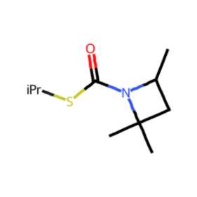 CC(C)SC(=O)N1C(C)CC1(C)C